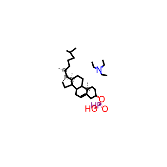 CC(C)CCC[C@@H](C)[C@H]1CCC2C3CC=C4CC(O[PH](=O)O)CC[C@]4(C)C3CC[C@@]21C.CCN(CC)CC